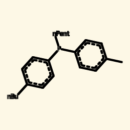 CCCCCP(c1ccc(C)cc1)c1ccc(CCCC)cc1